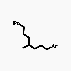 CC(=O)CCCC(C)CCCC(C)C